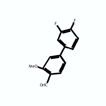 COc1cc(-c2ccc(F)c(F)c2)ccc1C=O